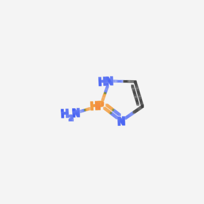 N[PH]1=NC=CN1